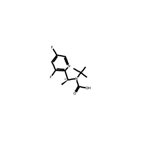 C[C@@H](c1ncc(F)cc1F)N(C(=O)O)C(C)(C)C